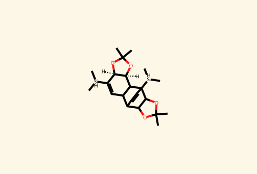 C[SiH](C)C1=CC2C3C=CC([SiH](C)C)(C4OC(C)(C)OC34)C2[C@@H]2OC(C)(C)O[C@H]12